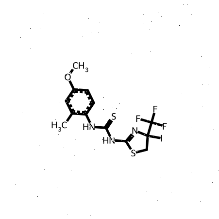 COc1ccc(NC(=S)NC2=NC(I)(C(F)(F)F)CS2)c(C)c1